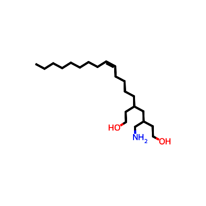 CCCCCCCC/C=C\CCCCC(CCO)CC(CN)CCO